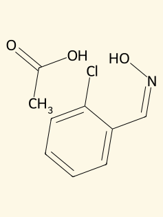 CC(=O)O.O/N=C\c1ccccc1Cl